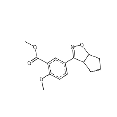 COC(=O)c1cc(C2=NOC3CCCC23)ccc1OC